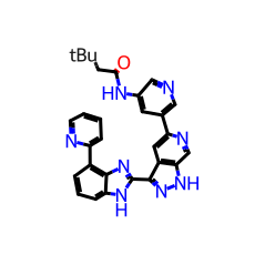 CC(C)(C)CC(=O)Nc1cncc(-c2cc3c(-c4nc5c(-c6ccccn6)cccc5[nH]4)n[nH]c3cn2)c1